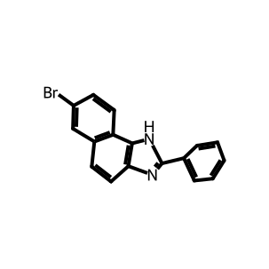 Brc1ccc2c(ccc3nc(-c4ccccc4)[nH]c32)c1